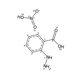 NNc1ccccc1C(=O)O.O=[N+]([O-])O